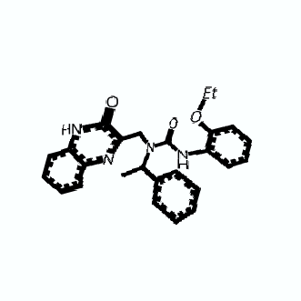 CCOc1ccccc1NC(=O)N(Cc1nc2ccccc2[nH]c1=O)C(C)c1ccccc1